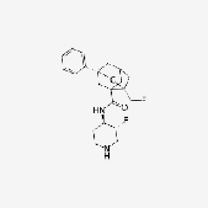 O=C(N[C@@H]1CCNC[C@H]1F)C12CC3C[C@](c4ccccc4)(C1)C[C@@]2(CF)C3